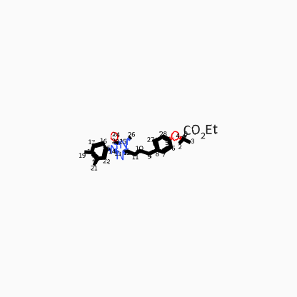 CCOC(=O)C(C)(C)Oc1ccc(CCCc2nn(-c3ccc(C)c(C)c3)c(=O)n2C)cc1